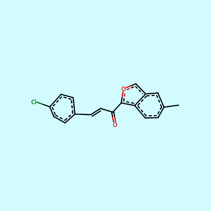 Cc1ccc2c(C(=O)C=Cc3ccc(Cl)cc3)occ2c1